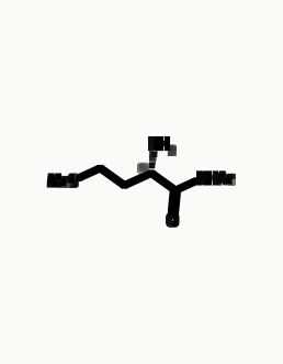 CSCC[C@H](N)C(=O)NC(C)=O